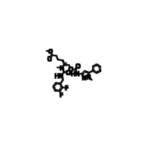 COC(=O)CCC[C@@H](COC(=O)Nc1cc(-c2ccccc2)n(C)n1)N(C)C(=O)NCc1cccc(F)c1F